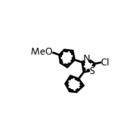 COc1ccc(-c2nc(Cl)sc2-c2ccccc2)cc1